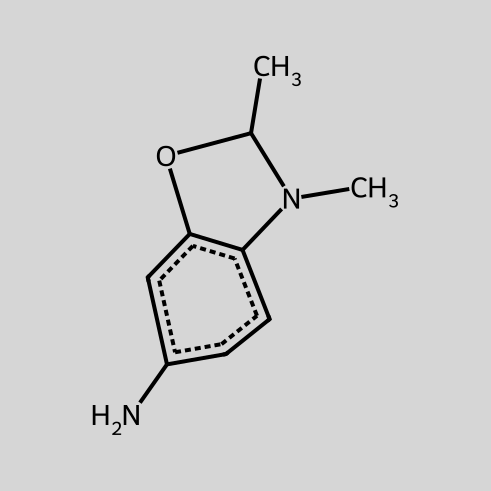 CC1Oc2cc(N)ccc2N1C